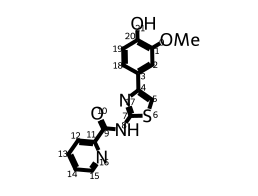 COc1cc(-c2csc(NC(=O)c3ccccn3)n2)ccc1O